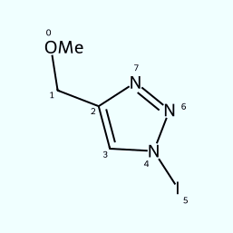 COCc1cn(I)nn1